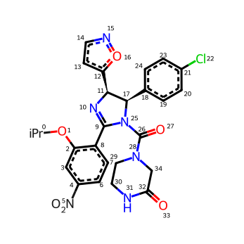 CC(C)Oc1cc([N+](=O)[O-])ccc1C1=N[C@@H](c2ccno2)[C@@H](c2ccc(Cl)cc2)N1C(=O)N1CCNC(=O)C1